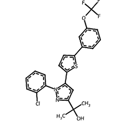 CC(C)(O)c1cc(-c2ccc(-c3cccc(OC(F)(F)F)c3)s2)n(-c2ccccc2Cl)n1